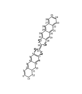 C1=CC2=Cc3cc4c(cc3CC2CC1)SC(=C1Sc2cc3cc5ccccc5cc3cc2S1)S4